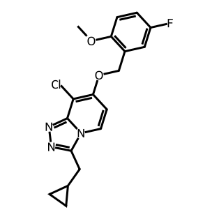 COc1ccc(F)cc1COc1ccn2c(CC3CC3)nnc2c1Cl